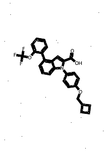 O=C(O)c1cc2c(-c3ccccc3OC(F)(F)F)cccc2n1-c1ccc(OCC2CCC2)cc1